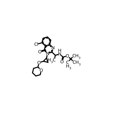 CC(NC(=O)OC(C)(C)C)c1nc2cccc(Cl)c2c(=O)n1C1CC1OC1CCCCO1